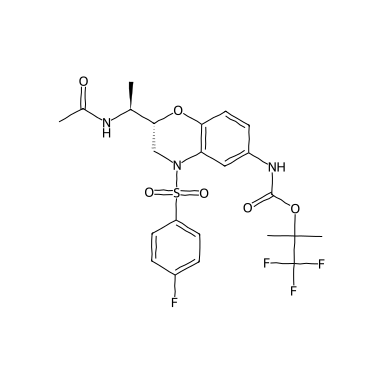 CC(=O)N[C@@H](C)[C@H]1CN(S(=O)(=O)c2ccc(F)cc2)c2cc(NC(=O)OC(C)(C)C(F)(F)F)ccc2O1